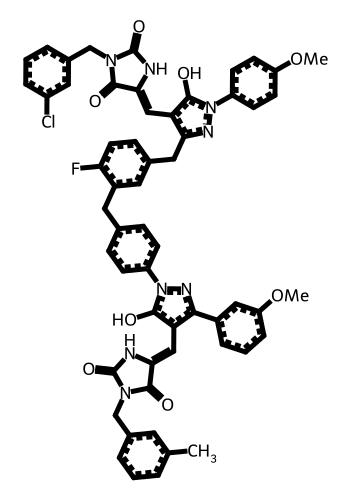 COc1ccc(-n2nc(Cc3ccc(F)c(Cc4ccc(-n5nc(-c6cccc(OC)c6)c(/C=C6\NC(=O)N(Cc7cccc(C)c7)C6=O)c5O)cc4)c3)c(/C=C3\NC(=O)N(Cc4cccc(Cl)c4)C3=O)c2O)cc1